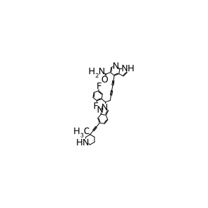 CC1(C#Cc2ccc3cn(C(CC#CC#Cc4c(C(N)=O)cnc5[nH]ccc45)c4cc(F)ccc4F)nc3c2)CCCNC1